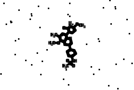 COc1ccc(-c2cc(C)c(OC)c3cc(-c4ccc(NS(C)(=O)=O)cc4)cnc23)c(=O)[nH]1